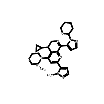 C[C@@H]1COCCN1c1cc(-c2ccnn2C)nc2c1C(C1CC1)CN=C2c1ccnn1C1CCCCO1